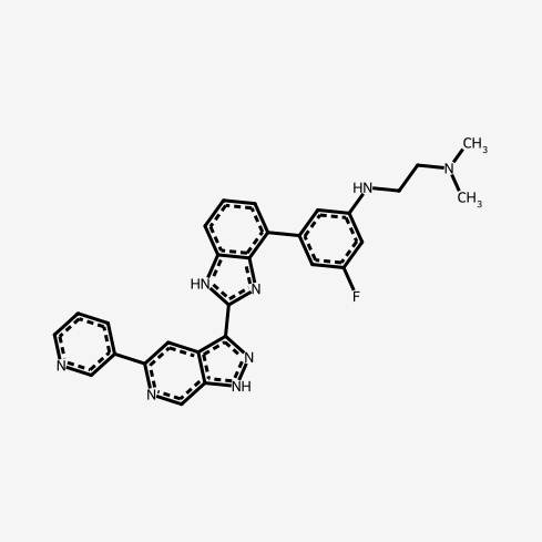 CN(C)CCNc1cc(F)cc(-c2cccc3[nH]c(-c4n[nH]c5cnc(-c6cccnc6)cc45)nc23)c1